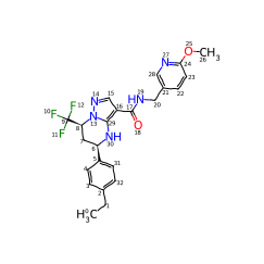 CCc1ccc([C@H]2C[C@@H](C(F)(F)F)n3ncc(C(=O)NCc4ccc(OC)nc4)c3N2)cc1